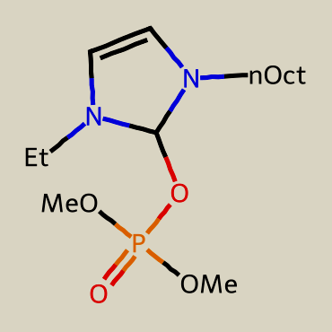 CCCCCCCCN1C=CN(CC)C1OP(=O)(OC)OC